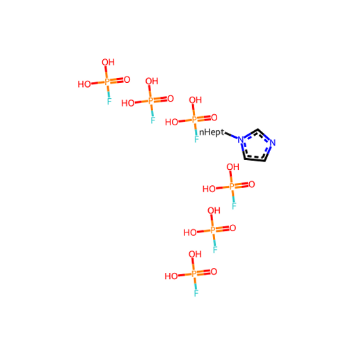 CCCCCCCn1ccnc1.O=P(O)(O)F.O=P(O)(O)F.O=P(O)(O)F.O=P(O)(O)F.O=P(O)(O)F.O=P(O)(O)F